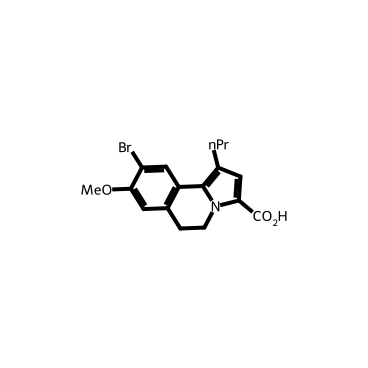 CCCc1cc(C(=O)O)n2c1-c1cc(Br)c(OC)cc1CC2